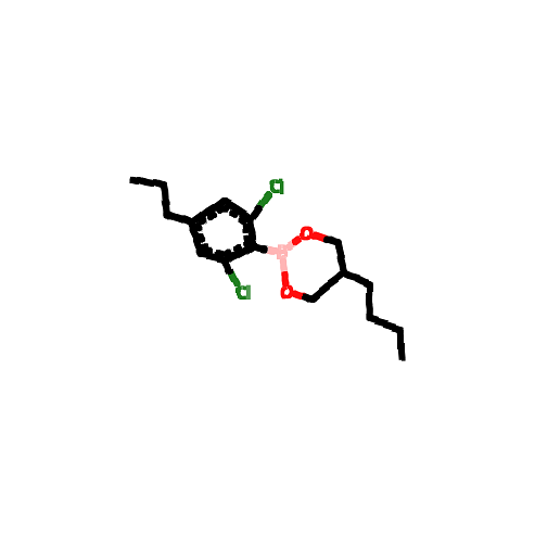 CCCCC1COB(c2c(Cl)cc(CCC)cc2Cl)OC1